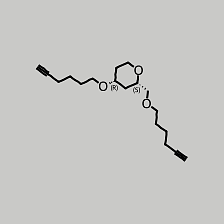 C#CCCCCOC[C@@H]1C[C@H](OCCCCC#C)CCO1